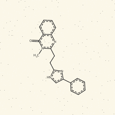 Cn1c(CCc2nc(-c3ccccc3)c[nH]2)nc2ccccc2c1=O